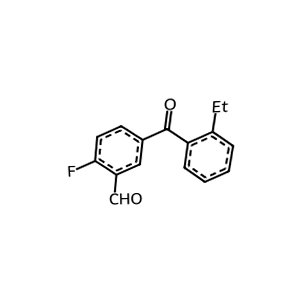 CCc1ccccc1C(=O)c1ccc(F)c(C=O)c1